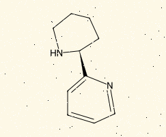 c1ccc([C@@H]2CCCCN2)nc1